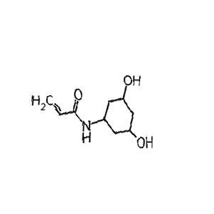 C=CC(=O)NC1CC(O)CC(O)C1